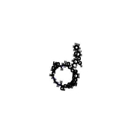 COC1CC(C[C@H](C)[C@@H]2CC(=O)[C@H](C)/C=C(\C)C(O)[C@@H](OC)C(=O)[C@H](C)C[C@H](C)/C=C/C=C/C=C(\C)[C@@H](OC)C[C@@H]3CC[C@@H](C)[C@@](O)(O3)C(=O)C(=O)N3CCCC[C@H]3C(=O)O2)CCC1OC1CC[C@H](c2ccccc2)OC1(C)C